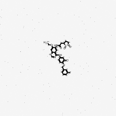 CCOc1cc2ncnc(Nc3ccc(OCc4cccc(F)c4)c(Cl)c3)c2cc1NC(=O)CC1CC[S+]([O-])[S+]1[O-]